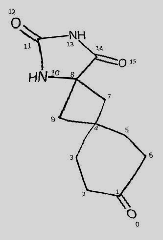 O=C1CCC2(CC1)CC1(C2)NC(=O)NC1=O